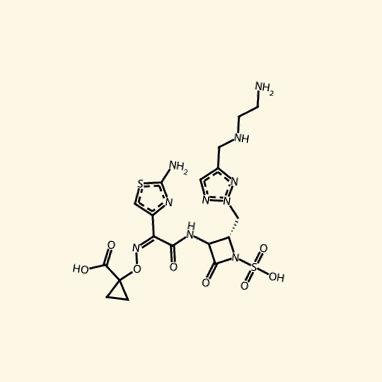 NCCNCc1cnn(C[C@H]2C(NC(=O)/C(=N\OC3(C(=O)O)CC3)c3csc(N)n3)C(=O)N2S(=O)(=O)O)n1